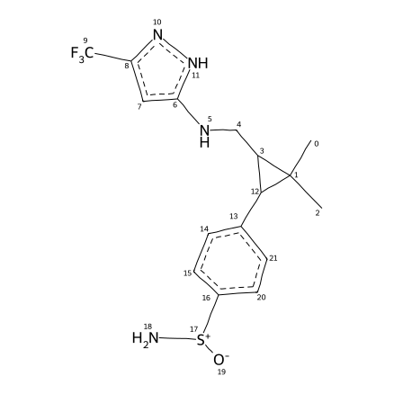 CC1(C)C(CNc2cc(C(F)(F)F)n[nH]2)C1c1ccc([S+](N)[O-])cc1